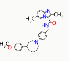 COc1ccc(C2CCCCN(c3ccc(CNC(=O)c4c(C)nc5ccc(C)cn45)cc3)CC2)cc1